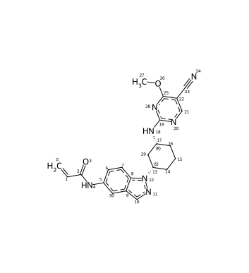 C=CC(=O)Nc1ccc2c(cnn2[C@H]2CCC[C@@H](Nc3ncc(C#N)c(OC)n3)C2)c1